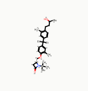 CCC(CC)(c1ccc(CCC(O)C(C)(C)C)c(C)c1)c1ccc(OC[C@H]2CC(=O)N2[Si](C)(C)C(C)(C)C)c(C)c1